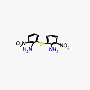 Nc1c(Sc2cccc([N+](=O)[O-])c2N)cccc1[N+](=O)[O-]